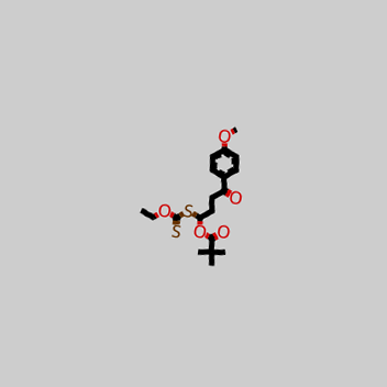 CCOC(=S)SC(CCC(=O)c1ccc(OC)cc1)OC(=O)C(C)(C)C